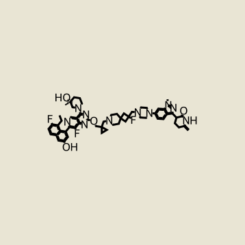 C=C1CCC(c2nn(C)c3cc(N4CCN(CC5(F)CC6(CCN(CC7(COc8nc(N9CCC[C@@](C)(O)C9)c9cnc(-c%10cc(O)cc%11ccc(F)c(CC)c%10%11)c(F)c9n8)CC7)CC6)C5)CC4)ccc23)C(=O)N1